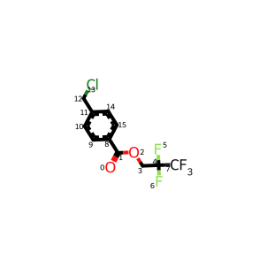 O=C(OCC(F)(F)C(F)(F)F)c1ccc(CCl)cc1